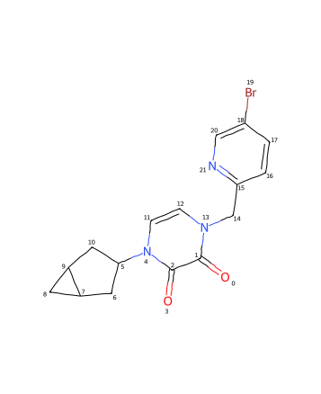 O=c1c(=O)n(C2CC3CC3C2)ccn1Cc1ccc(Br)cn1